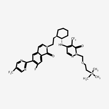 C[Si](C)(C)CCOCn1ncc(N[C@H]2CCCC[C@@H]2CCn2ccc3cc(-c4ncc(C(F)(F)F)cn4)c(F)cc3c2=O)c(C(F)(F)F)c1=O